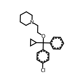 Clc1ccc(C(OCCN2CCCCC2)(c2ccccc2)C2CC2)cc1